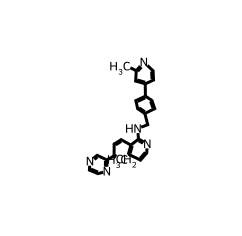 C=C(/C=C\c1c(C)ccnc1NCc1ccc(-c2ccnc(C)c2)cc1)c1cnccn1